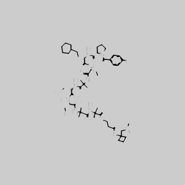 CC(C)C[C@H](NC(=O)[C@H](CCC1CCCCC1)NC(=O)[C@@H]1CCCN1C(=O)c1ccc(F)cc1)C(=O)NC(C)(C)C(=O)N[C@@H](CC(C)C)C(=O)N[C@@H](CC(F)(F)F)C(=O)NC(C)(C)C(=O)NC(C)(C)C(=O)NCCC(=O)NC1(CN(C)C)CCC1